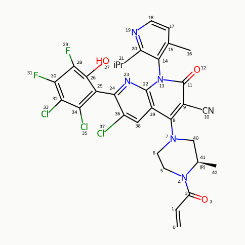 C=CC(=O)N1CCN(c2c(C#N)c(=O)n(-c3c(C)ccnc3C(C)C)c3nc(-c4c(O)c(F)c(F)c(Cl)c4Cl)c(Cl)cc23)C[C@H]1C